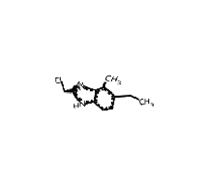 CCc1ccc2[nH]c(CCl)nc2c1C